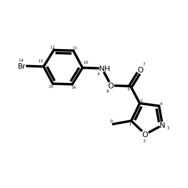 Cc1oncc1C(=O)ONc1ccc(Br)cc1